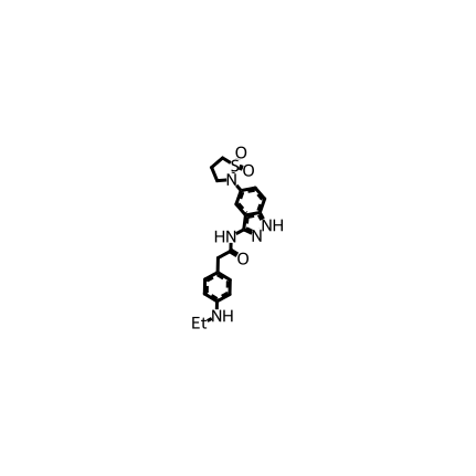 CCNc1ccc(CC(=O)Nc2n[nH]c3ccc(N4CCCS4(=O)=O)cc23)cc1